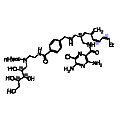 C=C(/C=C\C=C/CC)C[C@H](CNCc1ccc(C(=O)NCCN(CCCCCC)C[C@H](O)[C@@H](O)[C@H](O)CO)cc1)CNC(=O)c1nc(Cl)c(N)nc1N